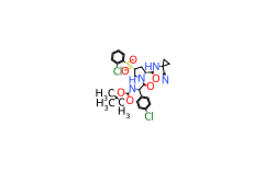 CC(C)(C)OC(=O)N[C@@H](C(=O)N1C[C@H](S(=O)(=O)c2ccccc2Cl)C[C@H]1C(=O)NC1(C#N)CC1)c1ccc(Cl)cc1